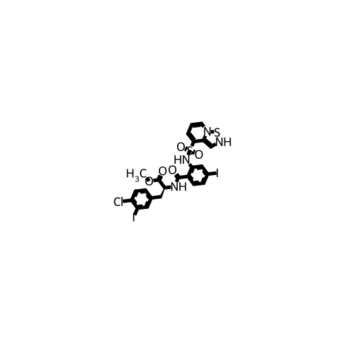 COC(=O)[C@H](Cc1ccc(Cl)c(I)c1)NC(=O)c1ccc(I)cc1NS(=O)(=O)C1=CC=CN2SNC=C12